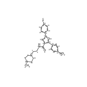 CN1CCN(CCNC(=O)c2nc(-c3ccc(F)cc3)oc2-c2ccc([N+](=O)[O-])cc2)CC1